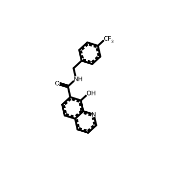 O=C(NCc1ccc(C(F)(F)F)cc1)c1ccc2cccnc2c1O